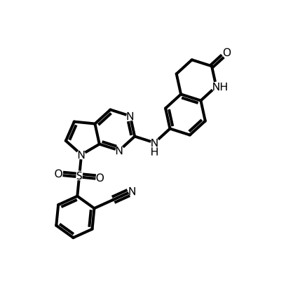 N#Cc1ccccc1S(=O)(=O)n1ccc2cnc(Nc3ccc4c(c3)CCC(=O)N4)nc21